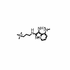 CN(C)c1cccn2nc(NCCC[N+](C)(C)C)c(N)c12